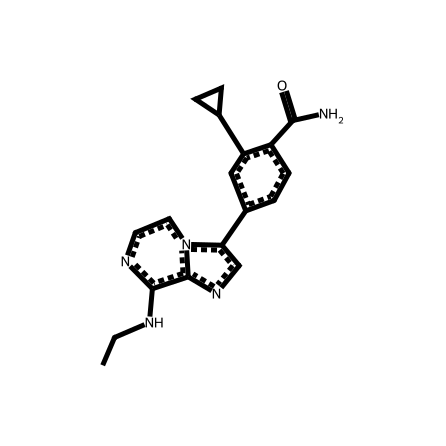 CCNc1nccn2c(-c3ccc(C(N)=O)c(C4CC4)c3)cnc12